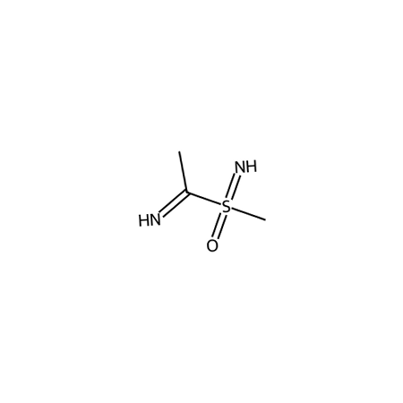 CC(=N)S(C)(=N)=O